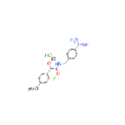 CCOC(C(=O)NCc1ccc(C(=N)N)cc1)c1ccc(OC)cc1F.Cl